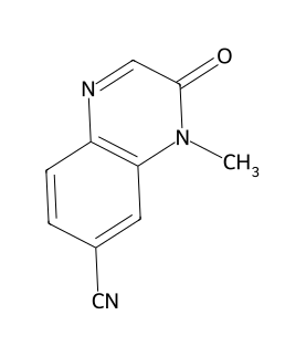 Cn1c(=O)cnc2ccc(C#N)cc21